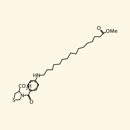 COC(=O)CCCCCCCCCCCCCCCNc1ccc(C(=O)N2CSCC2C(=O)O)cc1